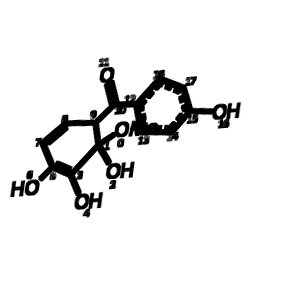 COC1(O)C(O)=C(O)C=CC1C(=O)c1ccc(O)cc1